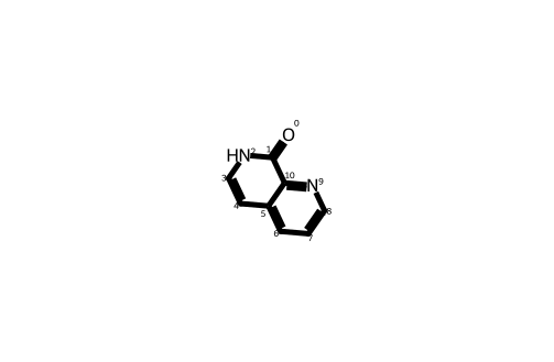 O=c1[nH]ccc2cc[c]nc12